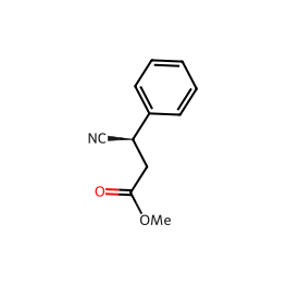 COC(=O)C[C@@H](C#N)c1ccccc1